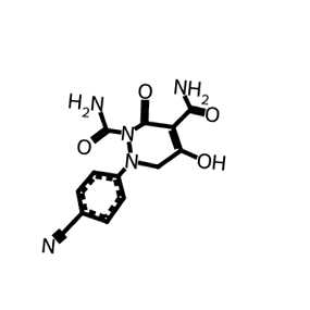 N#Cc1ccc(N2CC(O)=C(C(N)=O)C(=O)N2C(N)=O)cc1